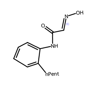 CCCCCc1ccccc1NC(=O)/C=N/O